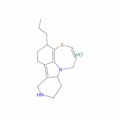 CCCC1CCC2=C3CNCCC3N3CC=CSC1=C23.Cl